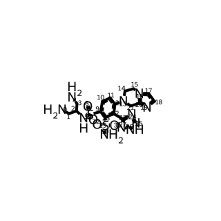 NCC(CN)NS(=O)(=O)c1ccc(N2CCn3ccnc3C2)c(-c2nn[nH]n2)c1S(N)(=O)=O